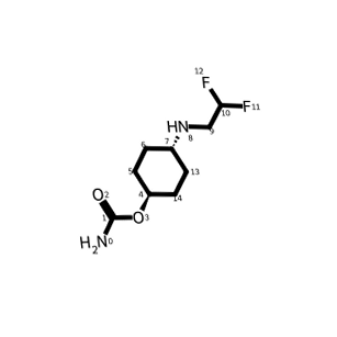 NC(=O)O[C@H]1CC[C@H](NCC(F)F)CC1